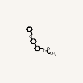 C=CC(=O)OCc1cccc(-c2ccc(OCc3ccccc3)cc2)c1